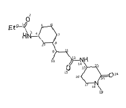 CCC(=O)NC1CCCC(C(C)CC(=O)NC2CCN(C)C(=O)C2)C1